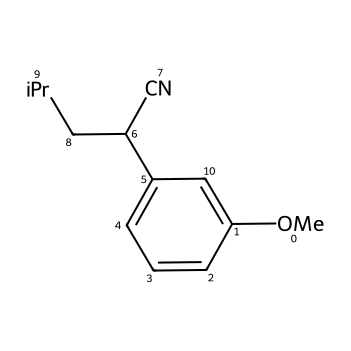 COc1cccc(C(C#N)CC(C)C)c1